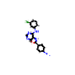 Nc1ccc(-c2nc3c(Nc4cccc(Cl)c4)ncnc3o2)cc1